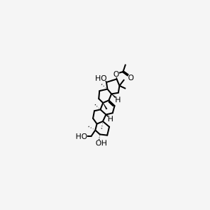 CC(=O)O[C@H]1[C@@H](O)[C@]2(C)CC[C@]3(C)C(=CC[C@@H]4[C@@]5(C)CC[C@H](O)[C@@](C)(CO)C5CC[C@]43C)[C@H]2CC1(C)C